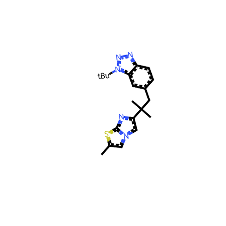 Cc1cn2cc(C(C)(C)Cc3ccc4nnn(C(C)(C)C)c4c3)nc2s1